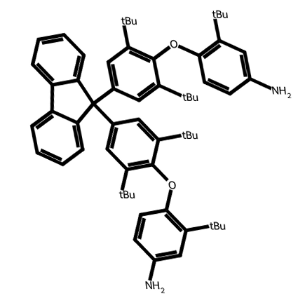 CC(C)(C)c1cc(N)ccc1Oc1c(C(C)(C)C)cc(C2(c3cc(C(C)(C)C)c(Oc4ccc(N)cc4C(C)(C)C)c(C(C)(C)C)c3)c3ccccc3-c3ccccc32)cc1C(C)(C)C